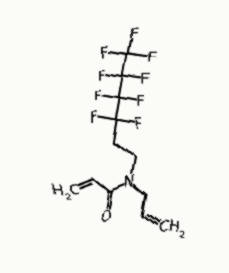 C=CCN(CCC(F)(F)C(F)(F)C(F)(F)C(F)(F)F)C(=O)C=C